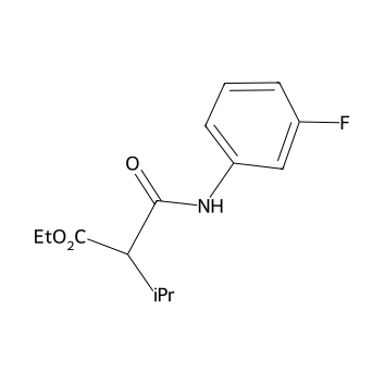 CCOC(=O)C(C(=O)Nc1cccc(F)c1)C(C)C